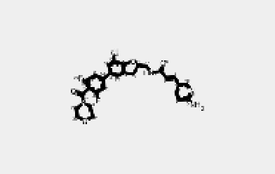 Nc1ccc(C=CC(=O)NCC2Cc3cc(-c4cc(F)c(C(=O)N5CCOCC5)c(F)c4)cc(Cl)c3O2)cn1